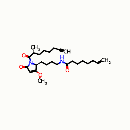 C#CCCCC[C@@H](C)C(=O)N1C(=O)C=C(OC)[C@@H]1CCCCNC(=O)CCCCCC=C